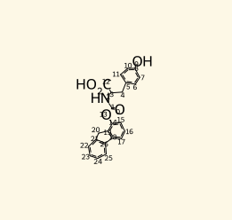 O=C(NC(Cc1ccc(O)cc1)C(=O)O)Oc1cccc2c1Cc1ccccc1-2